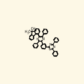 CC1(C)c2ccccc2-c2c(-c3nc(-c4ccccc4)c(-c4cccc(-c5nc(-c6ccccc6)nc(-c6ccccc6)n5)c4)nc3-c3ccccc3)cccc21